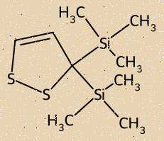 C[Si](C)(C)C1([Si](C)(C)C)C=CSS1